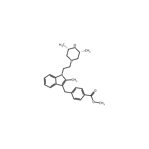 COC(=O)c1ccc(Cc2c(C)n(CCN3C[C@@H](C)N[C@@H](C)C3)c3ccccc23)cc1